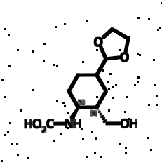 O=C(O)N[C@H]1CCC(C2OCCO2)C[C@@H]1CO